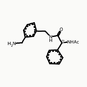 CC(=O)N[C@H](C(=O)NCc1cccc(CN)c1)c1ccccc1